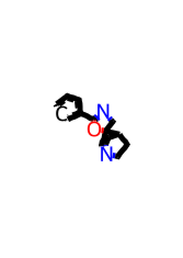 c1ccc(C2=NCC3(CN4CCC3CC4)O2)cc1